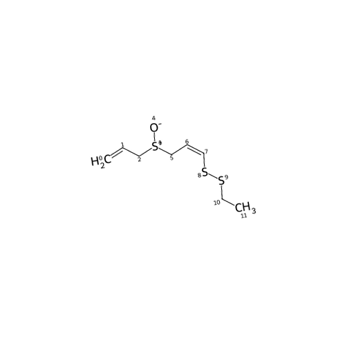 C=CC[S+]([O-])C/C=C\SSCC